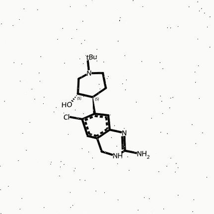 CC(C)(C)N1CC[C@@H](c2cc3c(cc2Cl)CNC(N)=N3)[C@H](O)C1